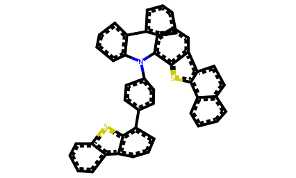 c1ccc(-c2ccccc2N(c2ccc(-c3cccc4c3sc3ccccc34)cc2)c2cccc3c2sc2c4ccccc4ccc32)cc1